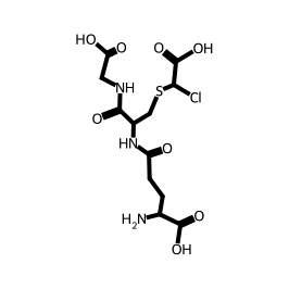 NC(CCC(=O)NC(CSC(Cl)C(=O)O)C(=O)NCC(=O)O)C(=O)O